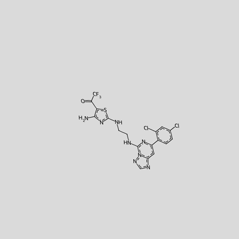 Nc1nc(NCCNc2nc(-c3ccc(Cl)cc3Cl)cc3ncnn23)sc1C(=O)C(F)(F)F